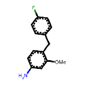 COc1cc(N)ccc1Cc1ccc(F)cc1